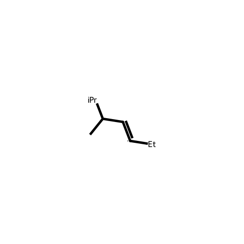 CC/[C]=C/C(C)C(C)C